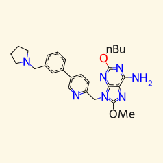 CCCCOc1nc(N)c2nc(OC)n(Cc3ccc(-c4cccc(CN5CCCC5)c4)cn3)c2n1